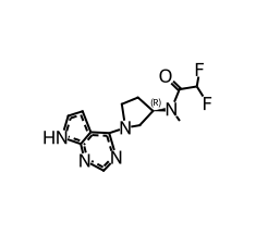 CN(C(=O)C(F)F)[C@@H]1CCN(c2ncnc3[nH]ccc23)C1